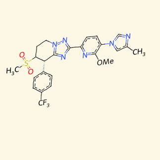 COc1nc(-c2nc3n(n2)CCC(S(C)(=O)=O)[C@H]3c2ccc(C(F)(F)F)cc2)ccc1-n1cnc(C)c1